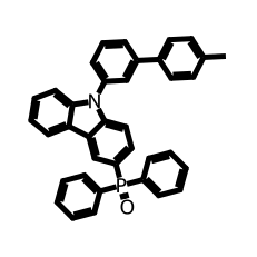 Cc1ccc(-c2cccc(-n3c4ccccc4c4cc(P(=O)(c5ccccc5)c5ccccc5)ccc43)c2)cc1